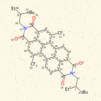 CCCCC(CC)CN1C(=O)c2ccc3c4c(C(F)(F)F)cc5c6c(cc(C(F)(F)F)c(c7ccc(c2c37)C1=O)c64)C(=O)N(CC(CC)CCCC)C5=O